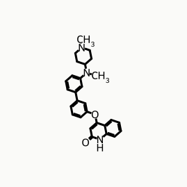 CN1CCC(N(C)c2cccc(-c3cccc(Oc4cc(=O)[nH]c5ccccc45)c3)c2)CC1